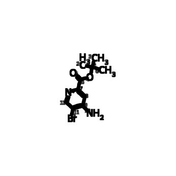 CC(C)(C)OC(=O)c1cc(N)c(Br)cn1